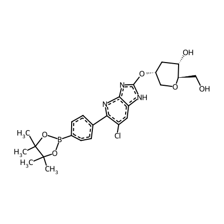 CC1(C)OB(c2ccc(-c3nc4nc(O[C@H]5CO[C@H](CO)[C@@H](O)C5)[nH]c4cc3Cl)cc2)OC1(C)C